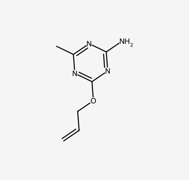 C=CCOc1nc(C)nc(N)n1